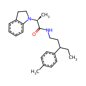 CCC(CCNC(=O)[C@H](C)N1CCc2ccccc21)c1ccc(C)cc1